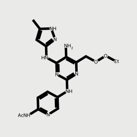 CCOOCc1nc(Nc2ccc(NC(C)=O)nc2)nc(Nc2cc(C)[nH]n2)c1N